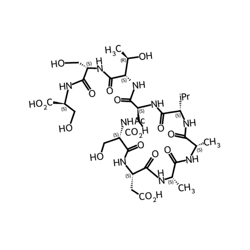 CC(=O)N[C@@H](CO)C(=O)N[C@@H](CC(=O)O)C(=O)N[C@@H](C)C(=O)N[C@@H](C)C(=O)N[C@H](C(=O)N[C@@H](CC(=O)O)C(=O)N[C@H](C(=O)N[C@@H](CO)C(=O)N[C@@H](CO)C(=O)O)[C@@H](C)O)C(C)C